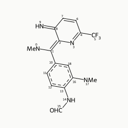 CN/C(=C1/N=C(C(F)(F)F)C=CC1=N)c1ccc(NC=O)c(NC)c1